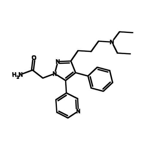 CCN(CC)CCCc1nn(CC(N)=O)c(-c2cccnc2)c1-c1ccccc1